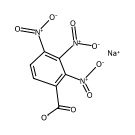 O=C([O-])c1ccc([N+](=O)[O-])c([N+](=O)[O-])c1[N+](=O)[O-].[Na+]